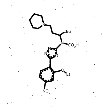 CCOc1cc([N+](=O)[O-])ccc1-c1nnc(N(C(=O)O)C(CCN2CCCCC2)C(C)(C)C)o1